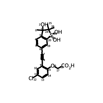 CC1(O)c2ccc(C#Cc3cc(Cl)ccc3OCC(=O)O)cc2S(O)(O)C1(C)C